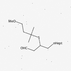 CCCCCCCCC(CC=O)SC(C)(C)CCOC